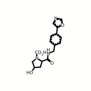 O=C(NCc1ccc(-c2cnco2)cc1)C1CC(O)CN1C(=O)O